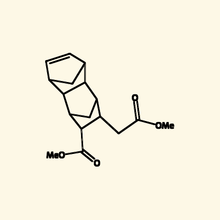 COC(=O)CC1C2CC(C1C(=O)OC)C1C3C=CC(C3)C21